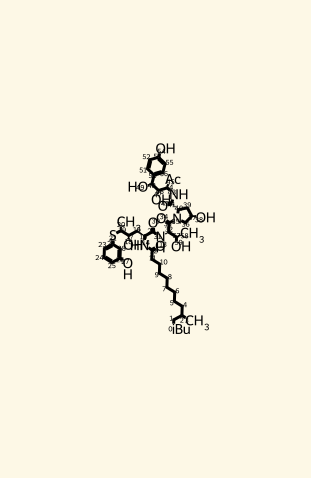 CCC(C)CC(C)CCCCCCCCC(=O)N[C@@H](C[C@@H](O)[C@H](C)Sc1cccc(O)c1)C(=O)N[C@H](C(=O)N1C[C@H](O)C[C@H]1C(=O)N[C@H](C(C)=O)[C@H](O)[C@@H](O)c1ccc(O)cc1)[C@@H](C)O